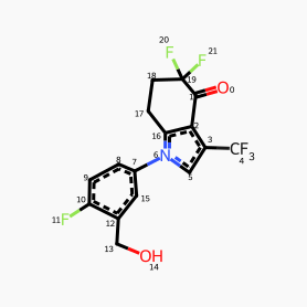 O=C1c2c(C(F)(F)F)cn(-c3ccc(F)c(CO)c3)c2CCC1(F)F